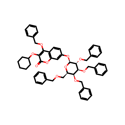 O=c1oc2cc(O[C@@H]3O[C@H](COCc4ccccc4)[C@H](OCc4ccccc4)[C@H](OCc4ccccc4)[C@H]3OCc3ccccc3)ccc2c(OCc2ccccc2)c1OC1CCCCC1